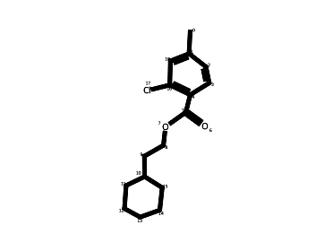 Cc1ccc(C(=O)OCCC2CCCCC2)c(Cl)c1